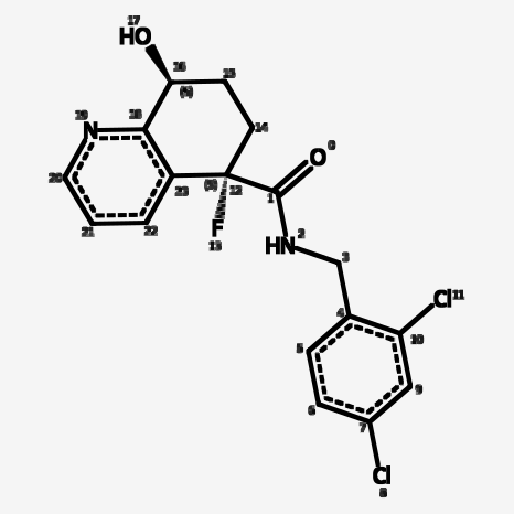 O=C(NCc1ccc(Cl)cc1Cl)[C@]1(F)CC[C@H](O)c2ncccc21